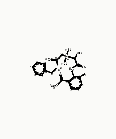 CCCC(C(=O)Nc1c(C)cccc1C(=O)OC)[N+](CC)(CC)CC(=O)OCc1ccccc1